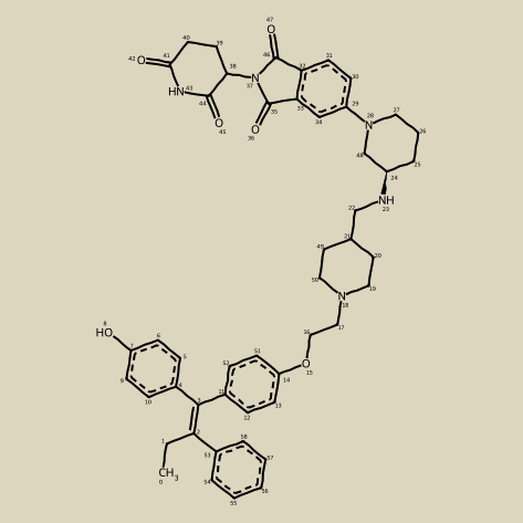 CCC(=C(c1ccc(O)cc1)c1ccc(OCCN2CCC(CN[C@@H]3CCCN(c4ccc5c(c4)C(=O)N(C4CCC(=O)NC4=O)C5=O)C3)CC2)cc1)c1ccccc1